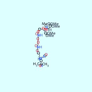 CC[C@H](C(=O)N1CCCC[C@H]1C(=O)O[C@H](CCc1ccc(OC)c(OC)c1)c1cccc(OCC(=O)NCCOCCOCCC(=O)NCCOc2ccc(CCc3nc4cc(-c5c(C)noc5C)ccc4n3CCN3CCOCC3)cc2)c1)c1cc(OC)c(OC)c(OC)c1